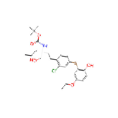 CCC[C@@](CO)(CCc1ccc(Sc2cc(OCC)ccc2O)cc1Cl)NC(=O)OC(C)(C)C